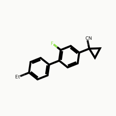 CCc1ccc(-c2ccc(C3(C#N)CC3)cc2F)cc1